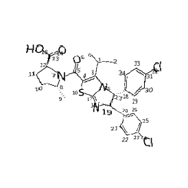 CC(C)C1=C(C(=O)N2[C@H](C)CC[C@H]2C(=O)O)SC2=NC(c3ccc(Cl)cc3)[C@@H](c3ccc(Cl)cc3)N21